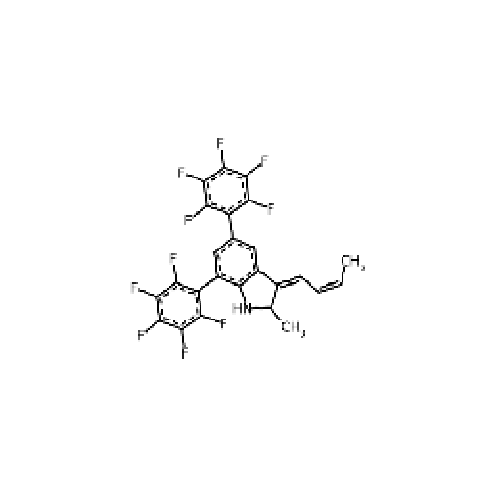 C/C=C\C=C1\c2cc(-c3c(F)c(F)c(F)c(F)c3F)cc(-c3c(F)c(F)c(F)c(F)c3F)c2NC1C